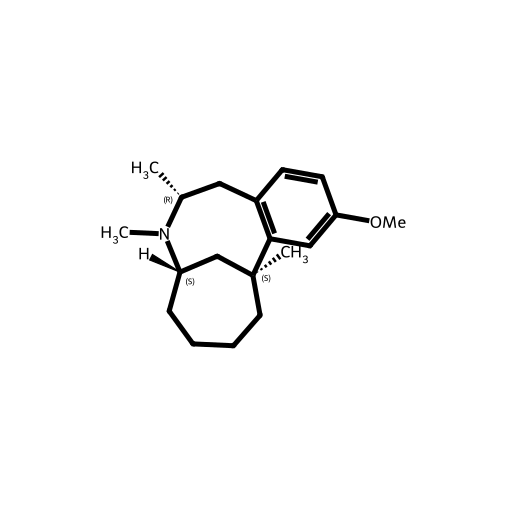 COc1ccc2c(c1)[C@@]1(C)CCCC[C@@H](C1)N(C)[C@H](C)C2